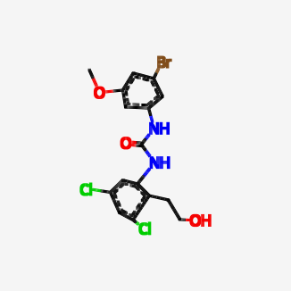 COc1cc(Br)cc(NC(=O)Nc2cc(Cl)cc(Cl)c2CCO)c1